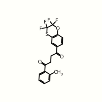 Cc1ccccc1C(=O)CCC(=O)c1ccc2c(c1)SC(F)(F)C(F)(F)O2